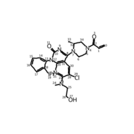 C=CC(=O)N1CCN(c2nc(=O)n(-c3ccccc3C(C)C)c3nc(N(C)CCO)c(Cl)cc23)[C@@H](C)C1